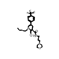 CCCCn1cc(-c2ccc(C(F)(F)F)cc2)cc(C(=O)NCCCN2CCOCC2)c1=O